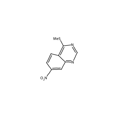 CSc1ncnc2cc([N+](=O)[O-])ccc12